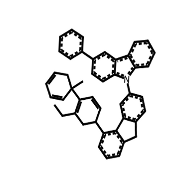 CCC1=C(C2(C)C=CC=CC2)C=CC(c2cccc3c2-c2cc(-n4c5ccccc5c5cc(-c6ccccc6)ccc54)ccc2C3)C1